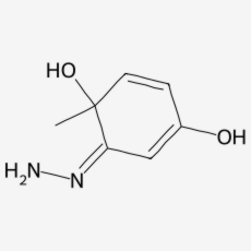 CC1(O)C=CC(O)=CC1=NN